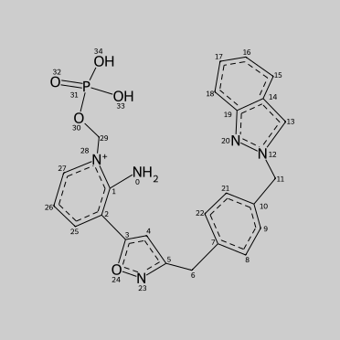 Nc1c(-c2cc(Cc3ccc(Cn4cc5ccccc5n4)cc3)no2)ccc[n+]1COP(=O)(O)O